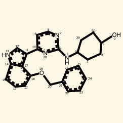 OC1CCC(Nc2nccc(-c3c[nH]c4cccc(OCc5ccccc5)c34)n2)CC1